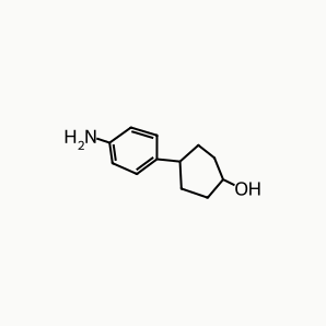 Nc1ccc(C2CCC(O)CC2)cc1